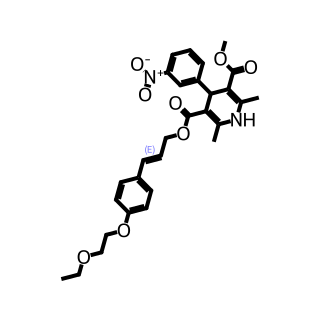 CCOCCOc1ccc(/C=C/COC(=O)C2=C(C)NC(C)=C(C(=O)OC)C2c2cccc([N+](=O)[O-])c2)cc1